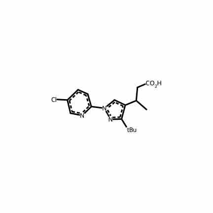 CC(CC(=O)O)c1cn(-c2ccc(Cl)cn2)nc1C(C)(C)C